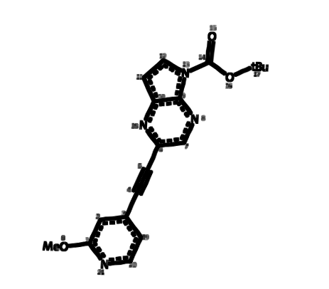 COc1cc(C#Cc2cnc3c(ccn3C(=O)OC(C)(C)C)n2)ccn1